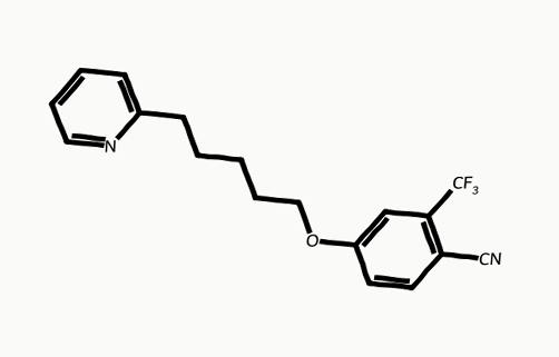 N#Cc1ccc(OCCCCCc2ccccn2)cc1C(F)(F)F